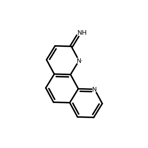 N=C1C=Cc2ccc3cccnc3c2[N]1